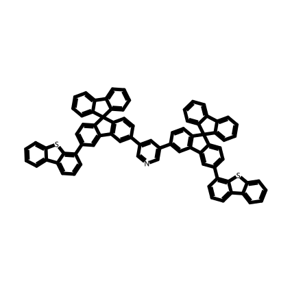 c1ccc2c(c1)-c1ccccc1C21c2ccc(-c3cncc(-c4ccc5c(c4)-c4cc(-c6cccc7c6sc6ccccc67)ccc4C54c5ccccc5-c5ccccc54)c3)cc2-c2cc(-c3cccc4c3sc3ccccc34)ccc21